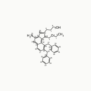 CCOCn1c(CCCO)nc2c(N)nc3ccc(Cc4ccccc4)c(Cc4ccccc4)c3c21